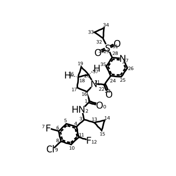 O=C(NC(c1cc(F)c(Cl)cc1F)C1CC1)[C@H]1C[C@H]2C[C@H]2N1C(=O)c1ccnc(S(=O)(=O)C2CC2)c1